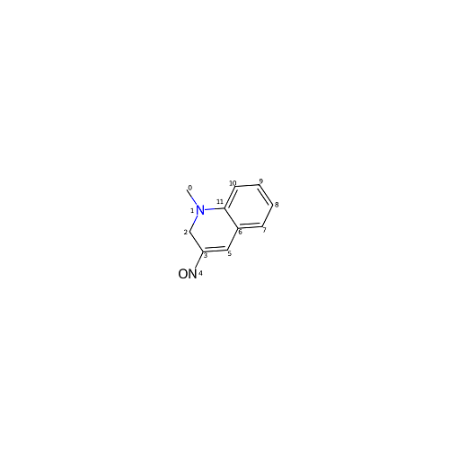 CN1CC(N=O)=Cc2ccccc21